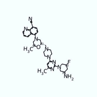 Cc1cc(N2CCN(C[C@H]3CN(c4ccc(C#N)c5ncccc45)C[C@@H](C)O3)CC2)nc(N2C[C@H](N)C[C@H](F)C2)n1